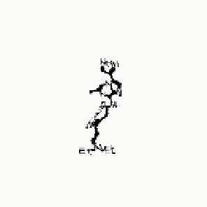 CCN(CC)CCc1cc(Nc2nc(C)cn3c(-c4cn[nH]c4)cnc23)sn1